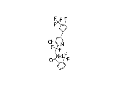 O=C(NCC(F)(F)c1ncc(-c2ccc(F)c(C(F)(F)F)c2)cc1Cl)c1ccccc1C(F)(F)F